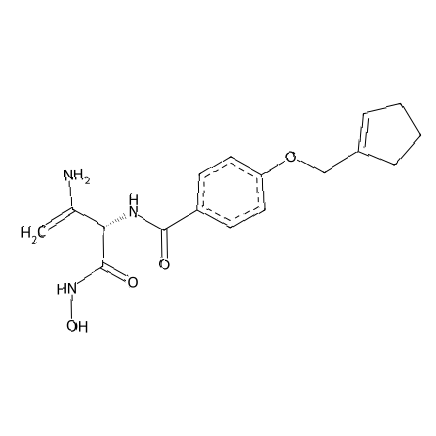 C=C(N)[C@H](NC(=O)c1ccc(OCC2=CCCC2)cc1)C(=O)NO